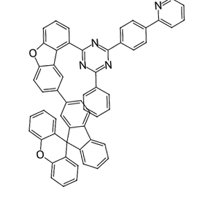 c1ccc(-c2nc(-c3ccc(-c4ccccn4)cc3)nc(-c3cccc4oc5ccc(-c6ccc7c(c6)C6(c8ccccc8Oc8ccccc86)c6ccccc6-7)cc5c34)n2)cc1